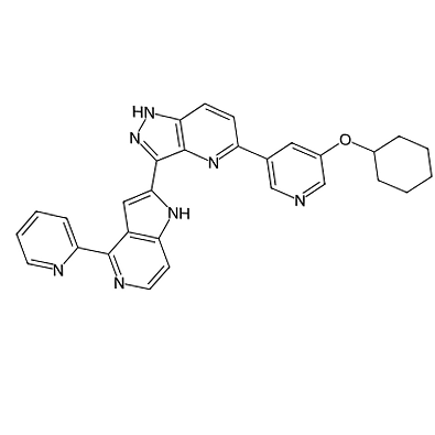 c1ccc(-c2nccc3[nH]c(-c4n[nH]c5ccc(-c6cncc(OC7CCCCC7)c6)nc45)cc23)nc1